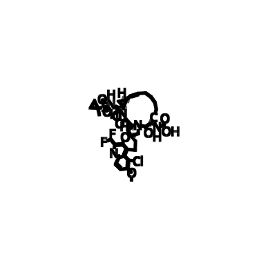 COc1ccc2nc(C(F)F)c3c(c2c1Cl)CC[C@]1(C[C@H]2C(=O)N[C@]4(C(=O)NS(=O)(=O)C5(C)CC5)C[C@H]4C=CCCCCC[C@H](NC(=O)O)C(=O)N2C1)O3